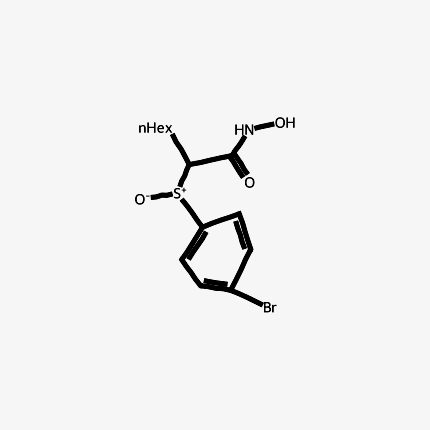 CCCCCCC(C(=O)NO)[S+]([O-])c1ccc(Br)cc1